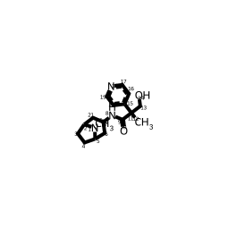 CN1C2CCC1CC(NC(=O)C(C)(CO)c1ccncc1)C2